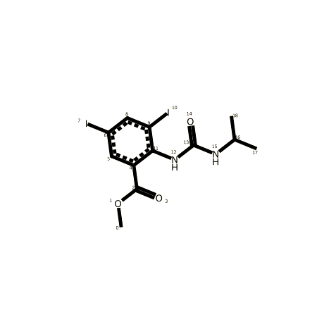 COC(=O)c1cc(I)cc(I)c1NC(=O)NC(C)C